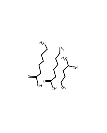 CC(O)CCCO.CCCCCCC(=O)O.CCCCCCC(=O)O